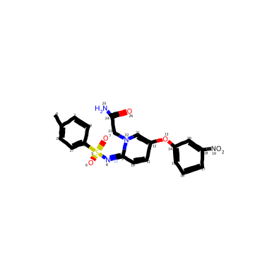 Cc1ccc(S(=O)(=O)/N=c2/ccc(Oc3cccc([N+](=O)[O-])c3)cn2CC(N)=O)cc1